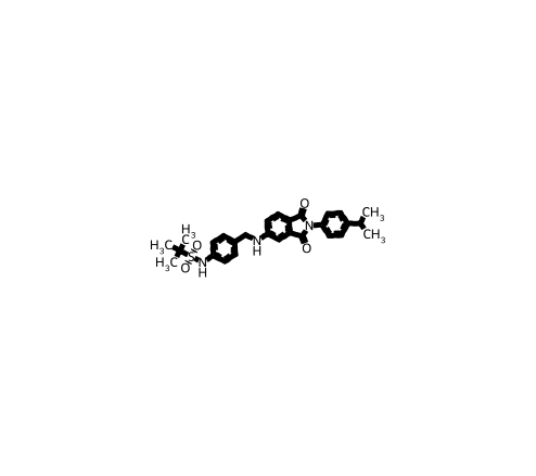 CC(C)c1ccc(N2C(=O)c3ccc(NCc4ccc(NS(=O)(=O)C(C)(C)C)cc4)cc3C2=O)cc1